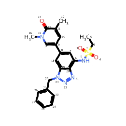 CCS(=O)(=O)Nc1cc(-c2cc(C)c(=O)n(C)c2)cc2c1nnn2Cc1ccccc1